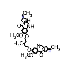 C/C=C1\CC2C=Nc3cc(OCCC(C)CCOc4cc5c(cc4OC)C(=O)N4C/C(=C/C)C[C@H]4CN5)c(OC)cc3C(=O)N2C1